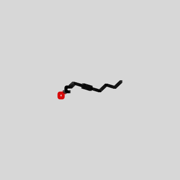 CCCCC#CC=C=O